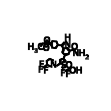 CCS(=O)(=O)N1CCC(c2c[nH]c3c(C(N)=O)cc(-c4csc(CN5CCCC(C(F)(F)F)C5)c4)cc23)CC1.O=C(O)C(F)(F)F